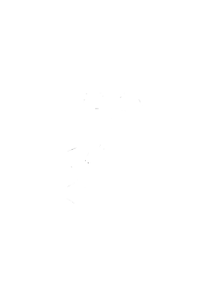 O=C(OCC1c2ccccc2-c2ccccc21)c1cccc(-c2ccccc2)n1